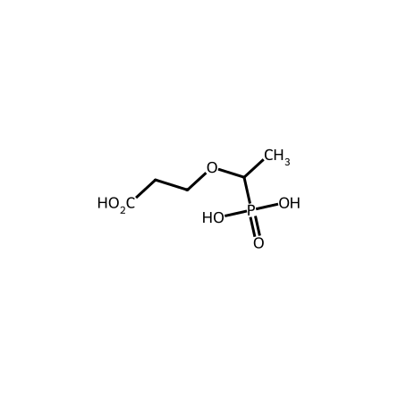 CC(OCCC(=O)O)P(=O)(O)O